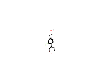 O=C(O)[C@@H](O)CCc1ccc(C2=CCOCC2)c(F)c1